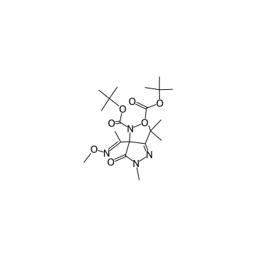 CON=C(C)C1(N(OC(=O)OC(C)(C)C)C(=O)OC(C)(C)C)C(=O)N(C)N=C1C(C)(C)C